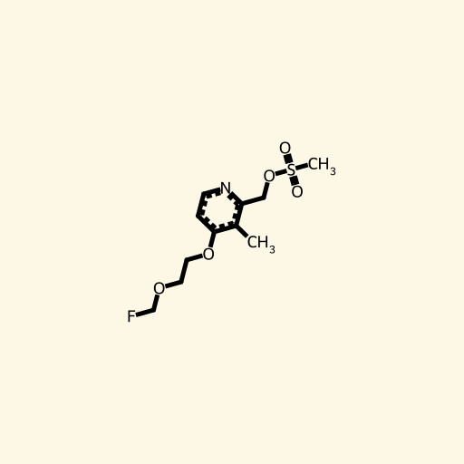 Cc1c(OCCOCF)ccnc1COS(C)(=O)=O